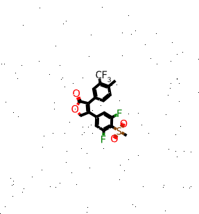 Cc1ccc(C2=C(c3cc(F)c(S(C)(=O)=O)c(F)c3)COC2=O)cc1C(F)(F)F